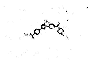 COC(=O)c1ccc(-c2cc(N)n(-c3ccc(C(=O)N4CCN(C)CC4)cc3)n2)cc1